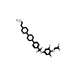 CCCC1CCC(C2CCC(c3ccc(C(F)(F)Oc4cc(F)c(OC=C(F)F)c(F)c4)cc3)CC2)CC1